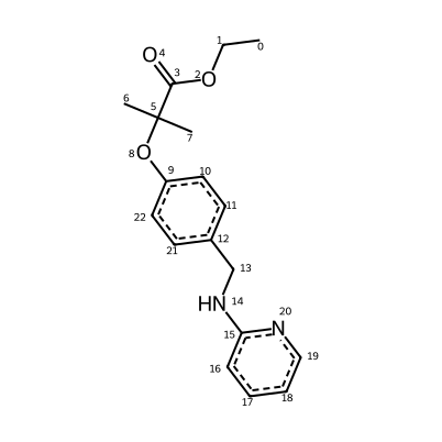 CCOC(=O)C(C)(C)Oc1ccc(CNc2ccccn2)cc1